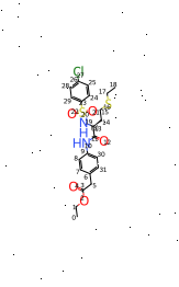 CCOC(=O)Cc1ccc(NC(=O)[C@H](CCSCC)NS(=O)(=O)c2ccc(Cl)cc2)cc1